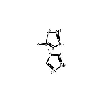 Cc1cnns1.c1nnco1